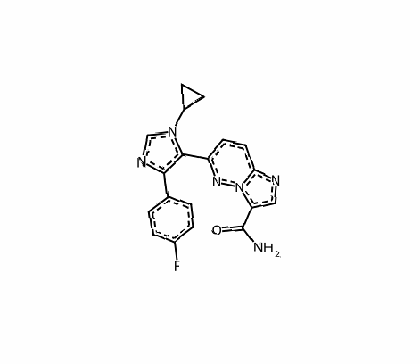 NC(=O)c1cnc2ccc(-c3c(-c4ccc(F)cc4)ncn3C3CC3)nn12